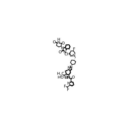 Cn1c(=O)n(C2CCC(=O)NC2=O)c2cccc([C@H]3CCN(C[C@H]4CC[C@H](n5cc6cc(NC(=O)c7cccc(C(F)F)n7)c(C(C)(C)O)cc6n5)CC4)C[C@@H]3F)c21